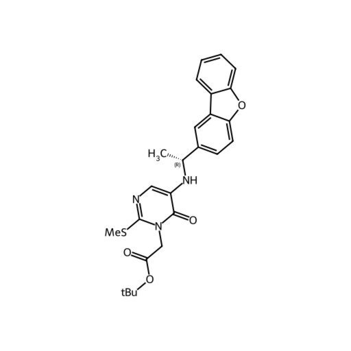 CSc1ncc(N[C@H](C)c2ccc3oc4ccccc4c3c2)c(=O)n1CC(=O)OC(C)(C)C